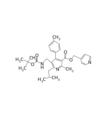 Cc1ccc(-c2c(CNC(=O)OC(C)(C)C)c(CC(C)C)nc(C)c2C(=O)OCc2ccncc2)cc1